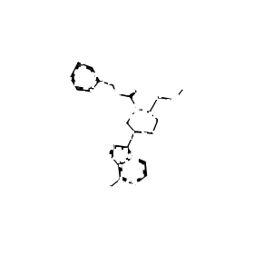 COCC1CCC(c2ncc3c(Cl)nccn23)CN1C(=O)OCc1ccccc1